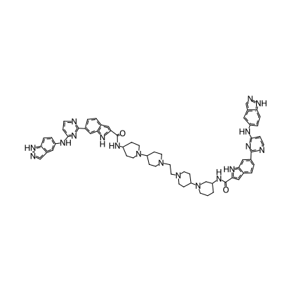 O=C(NC1CCN(C2CCN(CCN3CCC(N4CCCC(NC(=O)c5cc6ccc(-c7nccc(Nc8ccc9[nH]ncc9c8)n7)cc6[nH]5)C4)CC3)CC2)CC1)c1cc2ccc(-c3nccc(Nc4ccc5[nH]ncc5c4)n3)cc2[nH]1